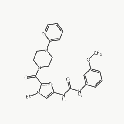 CCn1cc(NC(=O)Nc2cccc(OC(F)(F)F)c2)nc1C(=O)N1CCN(c2ccccn2)CC1